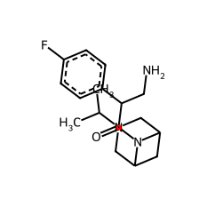 CC(C)N1CC2CC(C1)N2C(=O)C(CN)c1ccc(F)cc1